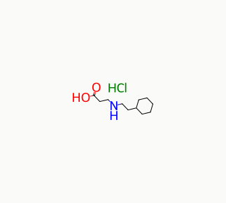 Cl.O=C(O)CCNCCC1CCCCC1